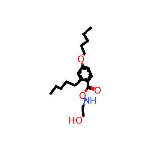 CCCCCOc1ccc(C(=O)ONCCO)c(CCCCC)c1